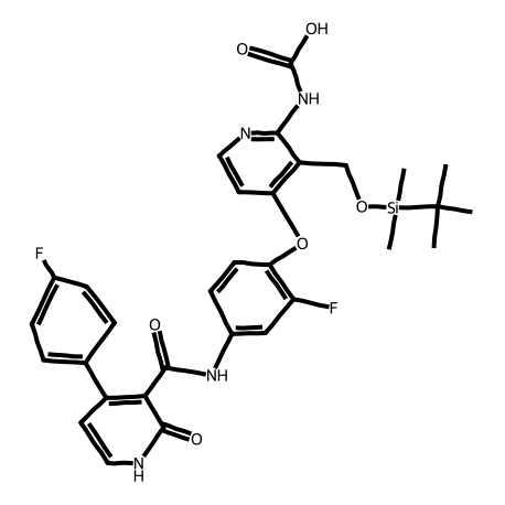 CC(C)(C)[Si](C)(C)OCc1c(Oc2ccc(NC(=O)c3c(-c4ccc(F)cc4)cc[nH]c3=O)cc2F)ccnc1NC(=O)O